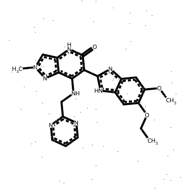 CCOc1cc2[nH]c(-c3c(NCc4ncccn4)c4nn(C)cc4[nH]c3=O)nc2cc1OC